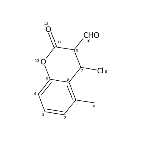 Cc1cccc2c1C(Cl)C(C=O)C(=O)O2